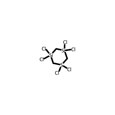 Cl[Si]1(Cl)C[Si](Cl)(Cl)CS(Cl)(Cl)C1